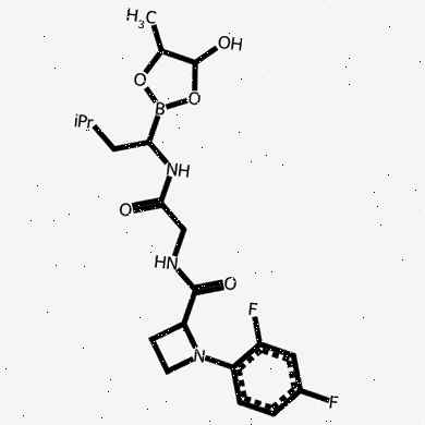 CC(C)CC(NC(=O)CNC(=O)C1CCN1c1ccc(F)cc1F)B1OC(C)C(O)O1